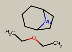 C1CC2CCC(C1)N2.CCOCC